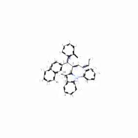 C=c1cccc/c1=C(/C(=C/C=C\C)c1c(C)c2ccccc2n1-c1ccccc1)c1ccc2ccccc2c1